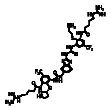 N=C(N)NCCCCC(=O)Nc1cc(C(F)(F)F)cc(NC(=O)Nc2ccc3nc(NC(=O)Nc4cc(C(F)(F)F)cc(NC(=O)CCCCNC(=N)N)c4SCCN)sc3c2)c1O[C@@H]1CCNC1